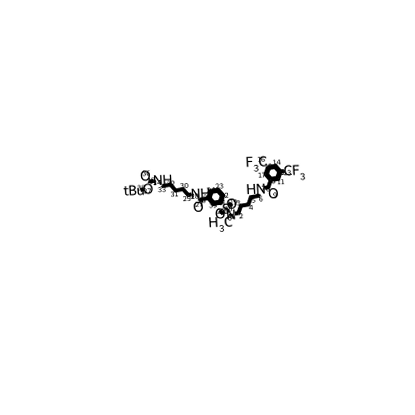 CN(CCCCCNC(=O)c1cc(C(F)(F)F)cc(C(F)(F)F)c1)S(=O)(=O)c1cccc(C(=O)NCCCCCNC(=O)OC(C)(C)C)c1